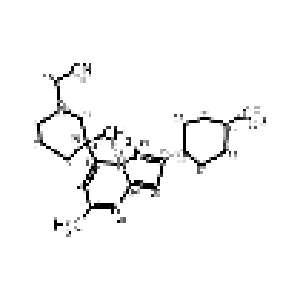 Cc1cc([C@]2(C)CCCN(CC#N)C2)n2nc([C@H]3CC[C@H](C(F)(F)F)CC3)cc2n1